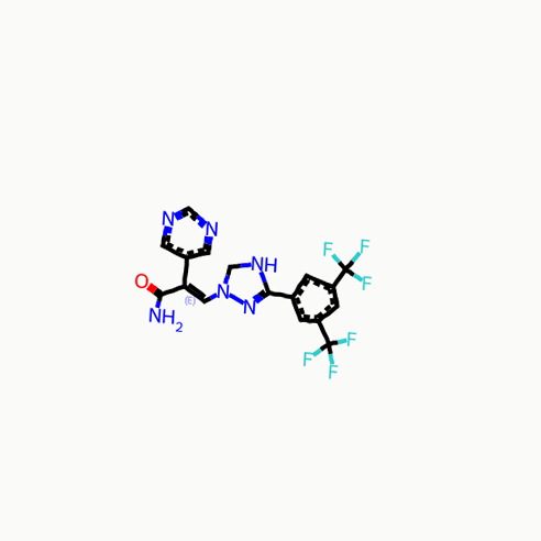 NC(=O)/C(=C/N1CNC(c2cc(C(F)(F)F)cc(C(F)(F)F)c2)=N1)c1cncnc1